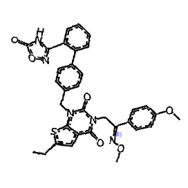 CCc1cc2c(=O)n(C/C(=N/OC)c3ccc(OC)cc3)c(=O)n(Cc3ccc(-c4ccccc4-c4noc(=O)[nH]4)cc3)c2s1